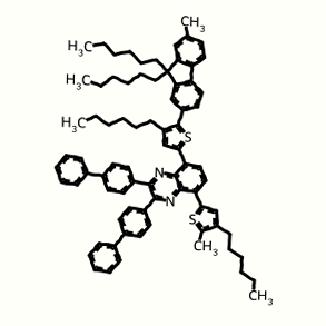 CCCCCCc1cc(-c2ccc(-c3cc(CCCCCC)c(-c4ccc5c(c4)C(CCCCCC)(CCCCCC)c4cc(C)ccc4-5)s3)c3nc(-c4ccc(-c5ccccc5)cc4)c(-c4ccc(-c5ccccc5)cc4)nc23)sc1C